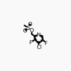 CS(=O)(=O)OCc1ncc(F)c(Cl)c1F